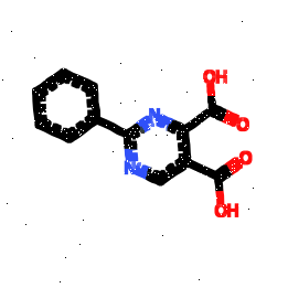 O=C(O)c1cnc(-c2ccccc2)nc1C(=O)O